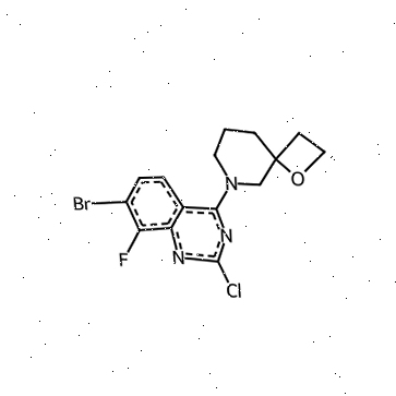 Fc1c(Br)ccc2c(N3CCCC4(CCO4)C3)nc(Cl)nc12